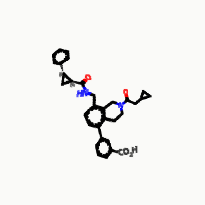 O=C(O)c1cccc(-c2ccc(CNC(=O)[C@H]3C[C@@H]3c3ccccc3)c3c2CCN(C(=O)CC2CC2)C3)c1